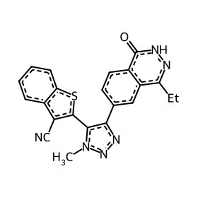 CCc1n[nH]c(=O)c2ccc(-c3nnn(C)c3-c3sc4ccccc4c3C#N)cc12